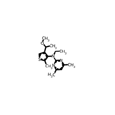 CCN(c1nc(C)cc(C)n1)c1c(C(C)OC)csc1C